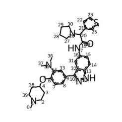 CN1CCC(Oc2ccc(-c3n[nH]c4ccc(NC(=O)C(c5ccsc5)N5CCCC5)cc34)cc2N(C)C)CC1